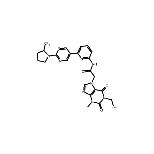 CC(=O)Cn1c(=O)c2c(ncn2CC(=O)Nc2cccc(-c3cnc(N4CCCC4C(F)(F)F)nc3)n2)n(C)c1=O